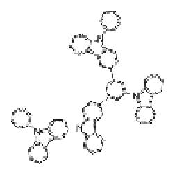 c1ccc(-n2c3ccccc3c3cc(-c4cc(-c5ccc6c(c5)c5ccccc5n6-c5ccc6c(c5)c5ccccc5n6-c5ccccc5)cc(-n5c6ccccc6c6ccccc65)c4)ccc32)cc1